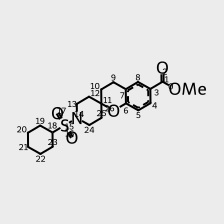 COC(=O)c1ccc2c(c1)CCC1(CCN(S(=O)(=O)C3CCCCC3)CC1)O2